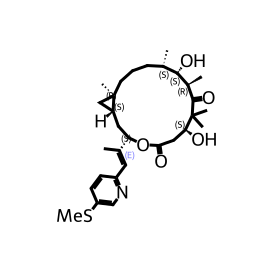 CSc1ccc(/C=C(\C)[C@@H]2C[C@@H]3C[C@@]3(C)CCC[C@H](C)[C@H](O)[C@@H](C)C(=O)C(C)(C)[C@@H](O)CC(=O)O2)nc1